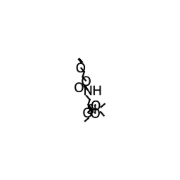 C=COCCOC(=O)NCCC[Si](OCC)(OCC)OCC